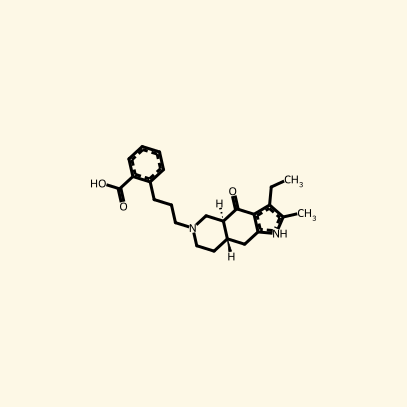 CCc1c(C)[nH]c2c1C(=O)[C@@H]1CN(CCCc3ccccc3C(=O)O)CC[C@H]1C2